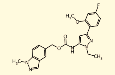 CCn1nc(-c2ccc(F)cc2OC)cc1NC(=O)OCc1ccc2c(cnn2C)c1